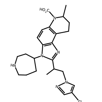 CC(Cn1cc(Cl)cn1)c1nc2c3c(ccc2n1C1CCCNCC1)N(C(=O)O)C(C)CC3